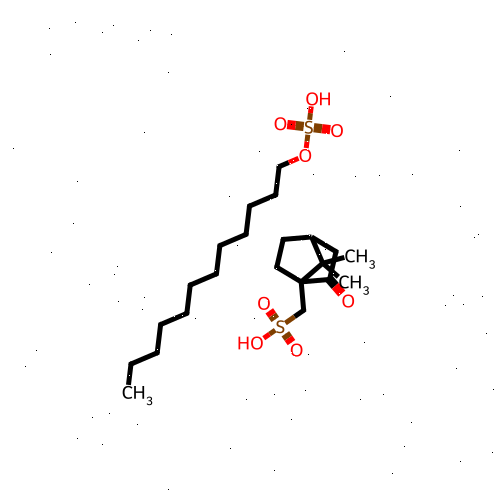 CC1(C)C2CCC1(CS(=O)(=O)O)C(=O)C2.CCCCCCCCCCCCOS(=O)(=O)O